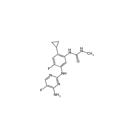 CNC(=O)Nc1cc(Nc2ncc(F)c(N)n2)c(F)cc1C1CC1